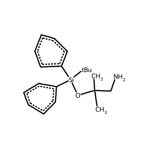 CC(C)(CN)O[Si](c1ccccc1)(c1ccccc1)C(C)(C)C